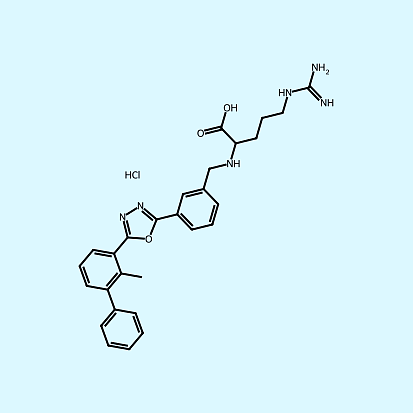 Cc1c(-c2ccccc2)cccc1-c1nnc(-c2cccc(CNC(CCCNC(=N)N)C(=O)O)c2)o1.Cl